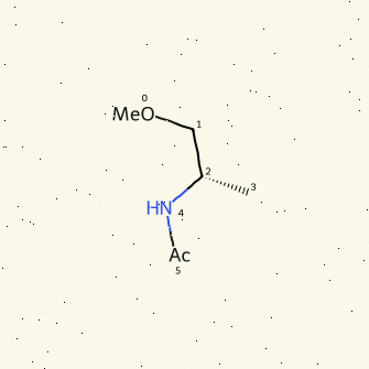 COC[C@H](C)NC(C)=O